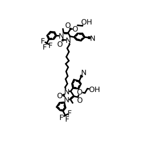 CC1=C(C(=O)OCCO)C(c2ccc(C#N)cc2)N(CCCCCCCCCCCCN2C(=O)N(c3cccc(C(F)(F)F)c3)C(C)=C(C(=O)OCCO)C2c2ccc(C#N)cc2)C(=O)N1c1cccc(C(F)(F)F)c1